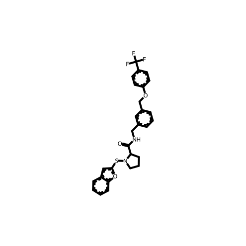 O=C(NCc1cccc(COc2ccc(C(F)(F)F)cc2)c1)C1CCCN1Sc1cc2ccccc2o1